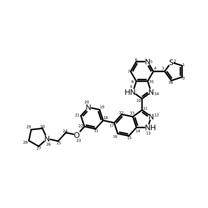 c1csc(-c2nccc3[nH]c(-c4n[nH]c5ccc(-c6cncc(OCCN7CCCC7)c6)cc45)nc23)c1